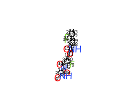 O=C1CCC(N2Cc3c(F)cc(COC(=O)Nc4ccc(-c5ccccc5F)c(F)c4)cc3C2=O)C(=O)N1